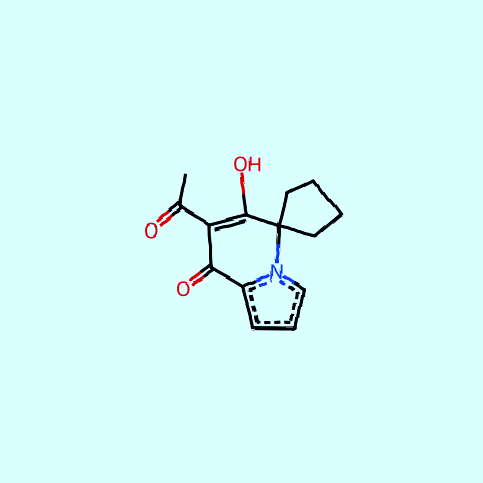 CC(=O)C1=C(O)C2(CCCC2)n2cccc2C1=O